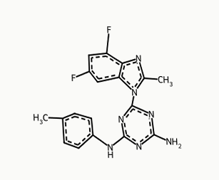 Cc1ccc(Nc2nc(N)nc(-n3c(C)nc4c(F)cc(F)cc43)n2)cc1